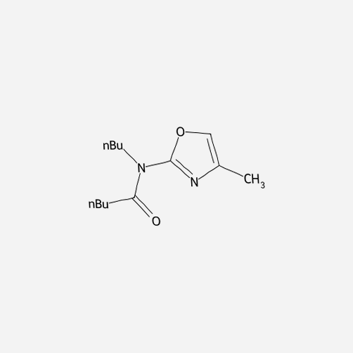 CCCCC(=O)N(CCCC)c1nc(C)co1